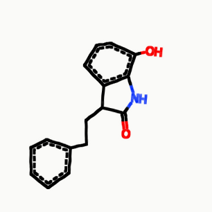 O=C1Nc2c(O)cccc2C1CCc1ccccc1